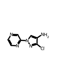 Nc1cn(-c2cnccn2)nc1Cl